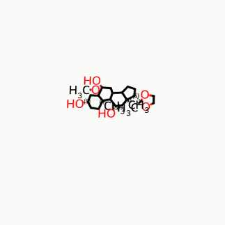 COC12C[C@@H](O)CC[C@]1(C)C1C(CC2O)C2CC[C@H](C3(C)OCCO3)[C@@]2(C)C[C@@H]1O